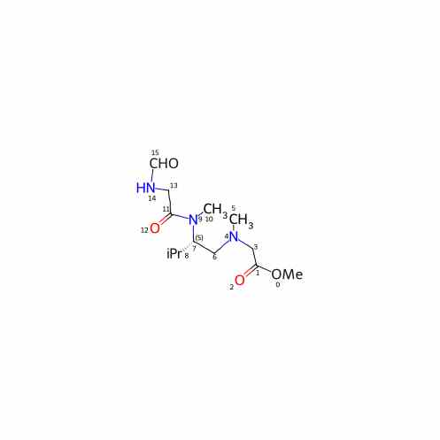 COC(=O)CN(C)C[C@H](C(C)C)N(C)C(=O)CNC=O